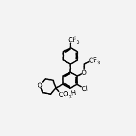 O=C(O)C1(c2cc(Cl)c(OCC(F)(F)F)c(C3C=CC(C(F)(F)F)=CC3)c2)CCOCC1